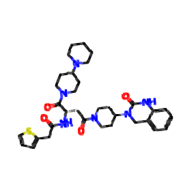 O=C(Cc1cccs1)N[C@@H](CC(=O)N1CCC(N2Cc3ccccc3NC2=O)CC1)C(=O)N1CCC(N2CCCCC2)CC1